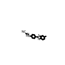 Cc1ccc2nc(-c3ccc(NN=CC#N)cc3)sc2c1